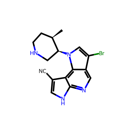 C[C@@H]1CCNC[C@@H]1n1cc(Br)c2cnc3[nH]cc(C#N)c3c21